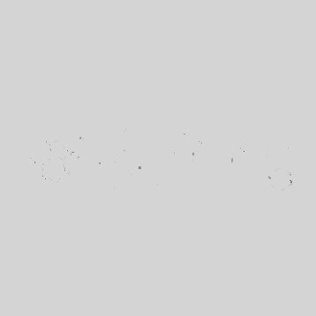 CC(=O)[SH](CCNC(=O)CCNC(=O)C(O)C(C)(C)COP(=O)(O)OP(=O)(O)OC[C@H]1O[C@@H](n2cnc3c(N)ncnc32)[C@H](O)[C@@H]1OP(=O)(O)O)c1ccccc1